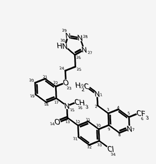 C=NCc1cc(C(F)(F)F)ncc1-c1cc(C(=O)N(C)c2ccccc2OCCc2nnn[nH]2)ccc1Cl